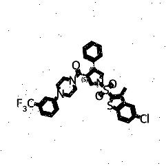 Cc1c(S(=O)(=O)N2C[C@@H](C(=O)N3CCN(c4cccc(C(F)(F)F)c4)CC3)[C@H](c3ccccc3)C2)sc2ccc(Cl)cc12